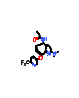 C=CC(=O)NC1CCC(Oc2ccc(C(F)(F)F)nc2)c2nc(N(C)C)ccc21